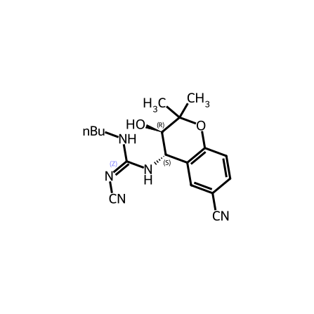 CCCCN/C(=N/C#N)N[C@H]1c2cc(C#N)ccc2OC(C)(C)[C@@H]1O